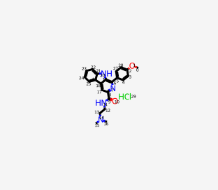 COc1ccc(-c2nc(C(=O)NCCN(C)C)cc3c2[nH]c2ccccc23)cc1.Cl